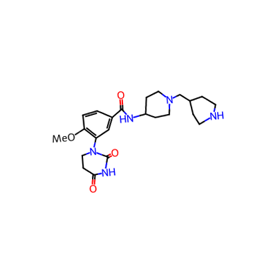 COc1ccc(C(=O)NC2CCN(CC3CCNCC3)CC2)cc1N1CCC(=O)NC1=O